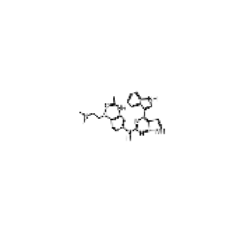 CC(=O)Nc1cc(Nc2nc(-c3c[nH]c4ccccc34)c3cc[nH]c3n2)ccc1N(C)CCN(C)C